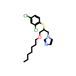 CCCCCCCOCC(Cn1ccnc1)Sc1ccc(Cl)cc1Cl